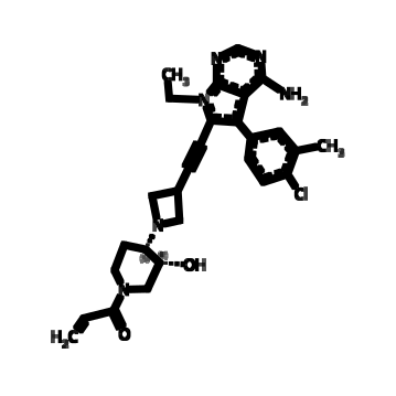 C=CC(=O)N1CC[C@H](N2CC(C#Cc3c(-c4ccc(Cl)c(C)c4)c4c(N)ncnc4n3CC)C2)[C@H](O)C1